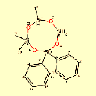 C[SiH]1O[SiH2]O[Si](c2ccccc2)(c2ccccc2)O[Si](C)(C)O1